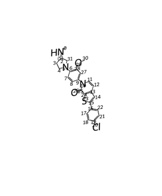 CN[C@H]1CCN(c2ccc(-n3ccc4cc(-c5ccc(Cl)cc5)sc4c3=O)cc2OC)C1